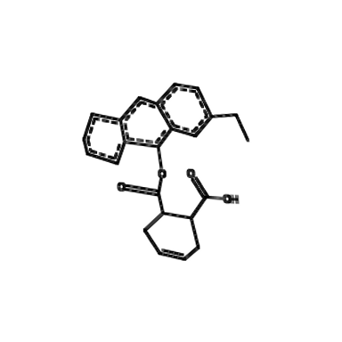 CCc1ccc2cc3ccccc3c(OC(=O)C3CC=CCC3C(=O)O)c2c1